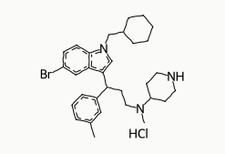 Cc1cccc(C(CCN(C)C2CCNCC2)c2cn(CC3CCCCC3)c3ccc(Br)cc23)c1.Cl